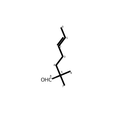 CC=CCCC(C)(C)C=O